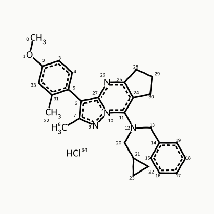 COc1ccc(-c2c(C)nn3c(N(Cc4ccccc4)CC4CC4)c4c(nc23)CCC4)c(C)c1.Cl